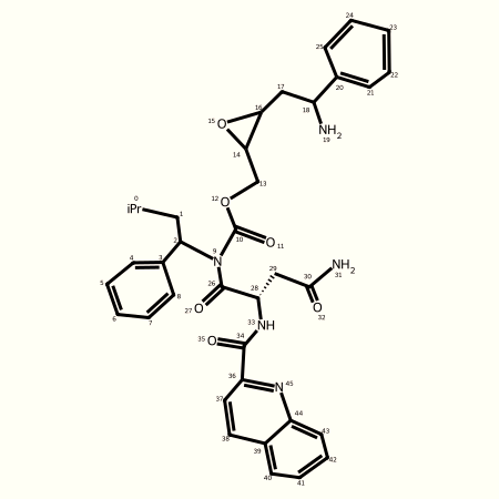 CC(C)CC(c1ccccc1)N(C(=O)OCC1OC1CC(N)c1ccccc1)C(=O)[C@H](CC(N)=O)NC(=O)c1ccc2ccccc2n1